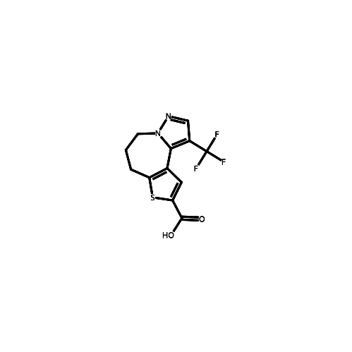 O=C(O)c1cc2c(s1)CCCn1ncc(C(F)(F)F)c1-2